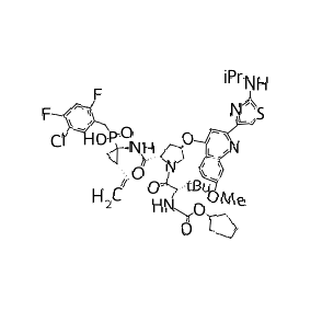 C=C[C@@H]1C[C@]1(NC(=O)[C@@H]1C[C@@H](Oc2cc(-c3csc(NC(C)C)n3)nc3cc(OC)ccc23)CN1C(=O)[C@@H](NC(=O)OC1CCCC1)C(C)(C)C)P(=O)(O)Cc1cc(Cl)c(F)cc1F